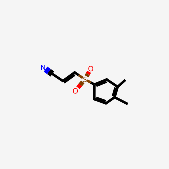 Cc1ccc(S(=O)(=O)/C=C/C#N)cc1C